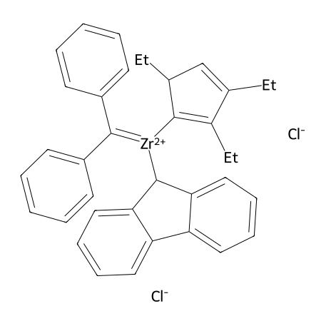 CCC1=CC(CC)[C]([Zr+2](=[C](c2ccccc2)c2ccccc2)[CH]2c3ccccc3-c3ccccc32)=C1CC.[Cl-].[Cl-]